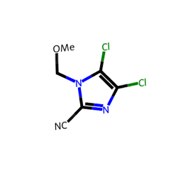 COCn1c(C#N)nc(Cl)c1Cl